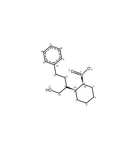 O=[N+]([O-])[C@H]1CCCC[C@H]1C(CO)CCc1ccccc1